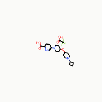 O=C(O)C(F)(F)F.O=C(O)c1ccc(N2CCC(OC3CCN(C4CCC4)CC3)CC2)cn1